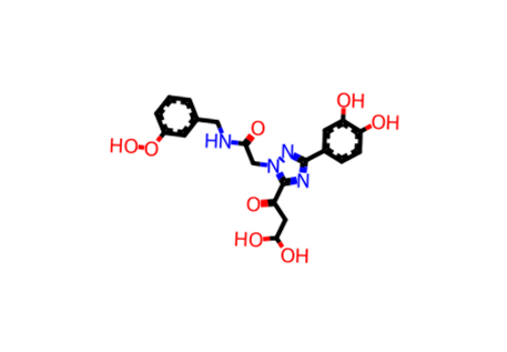 O=C(Cn1nc(-c2ccc(O)c(O)c2)nc1C(=O)CC(O)O)NCc1cccc(OO)c1